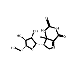 O=C1NC(=O)C2=NCN([C@@H]3O[C@H](CO)[C@@H](O)[C@H]3O)C2(I)N1